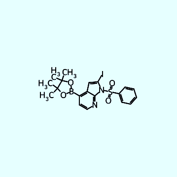 CC1(C)OB(c2ccnc3c2cc(I)n3S(=O)(=O)c2ccccc2)OC1(C)C